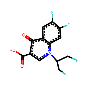 O=C(O)c1cn(C(CF)CF)c2cc(F)c(F)cc2c1=O